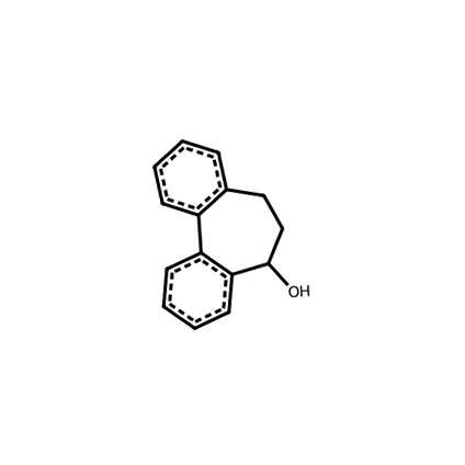 OC1CCc2ccccc2-c2ccccc21